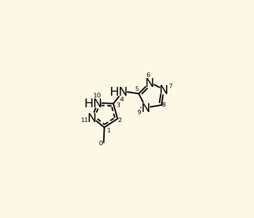 Cc1cc(NC2=NN=C[N]2)[nH]n1